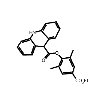 CCOC(=O)c1cc(C)c(OC(=O)C2c3ccccc3Nc3ccccc32)c(C)c1